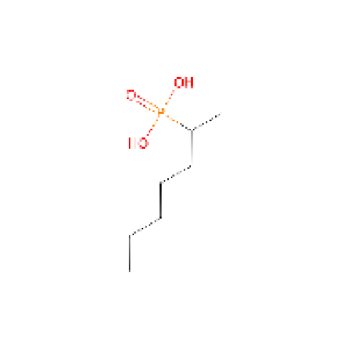 CCCCCC(CC)P(=O)(O)O